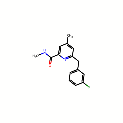 CNC(=O)c1cc(C)cc(Cc2cccc(F)c2)n1